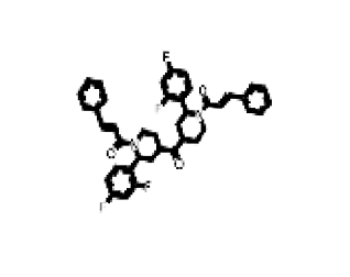 O=C(C1CCN(C(=O)C=Cc2ccccc2)C(c2ccc(F)cc2F)C1)C1CCN(C(=O)C=Cc2ccccc2)C(c2ccc(F)cc2F)C1